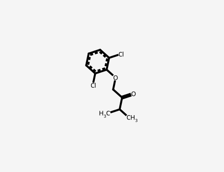 CC(C)C(=O)COc1c(Cl)cccc1Cl